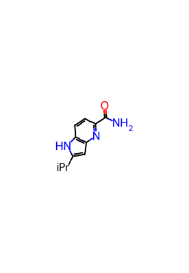 CC(C)c1cc2nc(C(N)=O)ccc2[nH]1